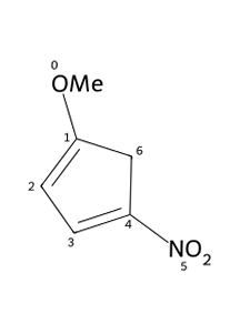 COC1=CC=C([N+](=O)[O-])C1